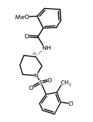 COc1ccccc1C(=O)N[C@H]1CCCN(S(=O)(=O)c2cccc(Cl)c2C)C1